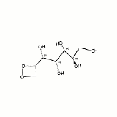 OC[C@@H](O)[C@@H](O)[C@H](O)[C@@H](O)C1COO1